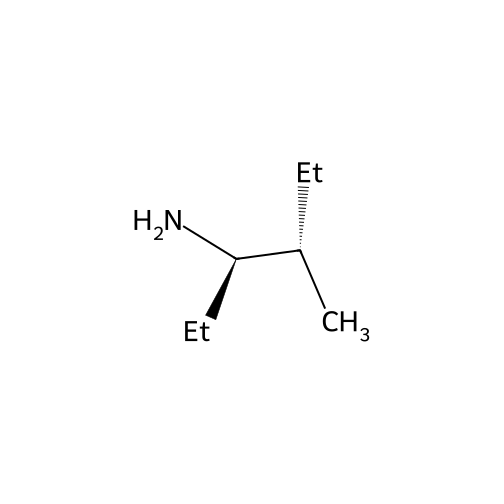 CC[C@@H](N)[C@@H](C)CC